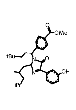 COC(=O)c1ccc([C@@H](CCC(C)(C)C)N2C(=O)C(c3cccc(O)c3)=NC2CC(C)CC(C)C)cc1